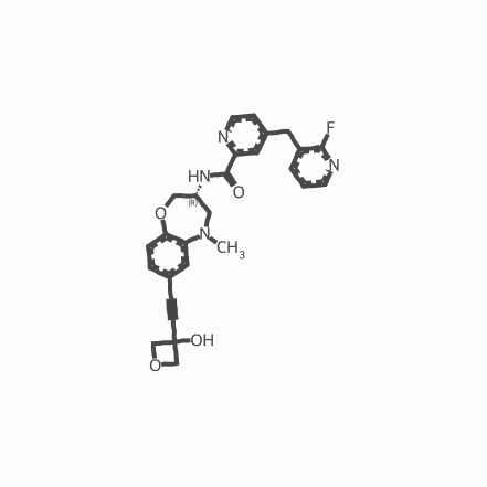 CN1C[C@@H](NC(=O)c2cc(Cc3cccnc3F)ccn2)COc2ccc(C#CC3(O)COC3)cc21